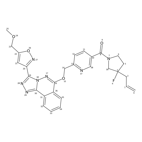 C=CCC1(F)CCN(C(=O)c2ccc(COc3nn4c(-c5cc(COC)on5)nnc4c4ccccc34)nc2)C1